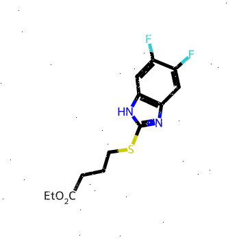 CCOC(=O)CCCSc1nc2cc(F)c(F)cc2[nH]1